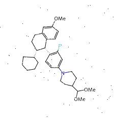 COc1ccc2c(c1)CC[C@@H](C1CCCCC1)[C@H]2c1ccc(N2CCC(C(OC)OC)CC2)cc1F